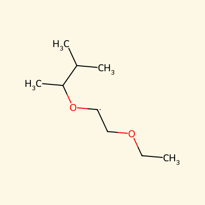 CCOC[CH]OC(C)C(C)C